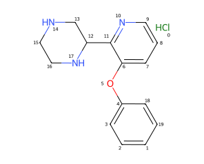 Cl.c1ccc(Oc2cccnc2C2CNCCN2)cc1